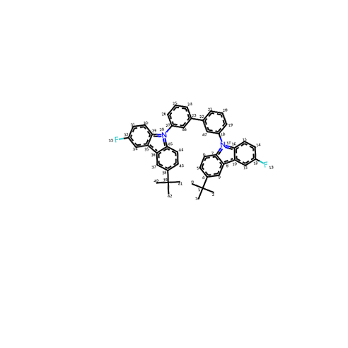 CC(C)(C)c1ccc2c(c1)c1cc(F)ccc1n2-c1cccc(-c2cccc(-n3c4ccc(F)cc4c4cc(C(C)(C)C)ccc43)c2)c1